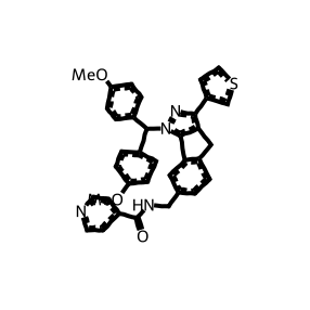 COc1ccc(C(c2ccc(OC)cc2)n2nc(-c3ccsc3)c3c2-c2cc(CNC(=O)c4ccncc4)ccc2C3)cc1